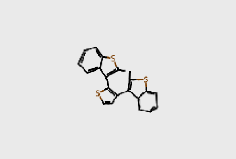 Cc1sc2ccccc2c1-c1ccsc1-c1c(C)sc2ccccc12